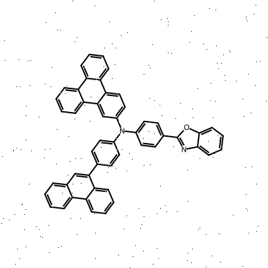 c1ccc2c(c1)cc(-c1ccc(N(c3ccc(-c4nc5ccccc5o4)cc3)c3ccc4c5ccccc5c5ccccc5c4c3)cc1)c1ccccc12